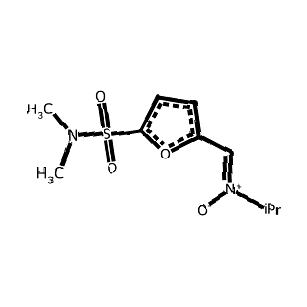 CC(C)[N+]([O-])=Cc1ccc(S(=O)(=O)N(C)C)o1